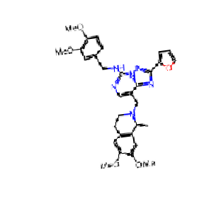 COc1ccc(CNc2ncc(CN3CCc4cc(OC)c(OC)cc4C3C)c3nc(-c4ccco4)nn23)cc1OC